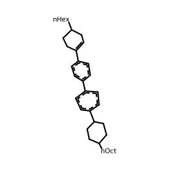 CCCCCCCCC1CCC(c2ccc(-c3ccc(C4=CCC(CCCCCC)CC4)cc3)cc2)CC1